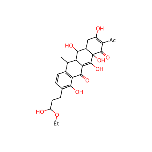 CCOC(O)CCc1ccc2c(c1O)C(=O)C1=C(O)C3(O)C(=O)C(C(C)=O)=C(O)CC3C(O)C1C2C